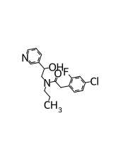 CCCN(CC(O)c1cccnc1)C(=O)Cc1ccc(Cl)cc1F